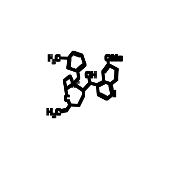 C=CC1CCC(C(O)c2ccnc3ccc(OC)cc23)[N+]2(Cc3cccc(C(F)(F)F)c3)CCC2C1